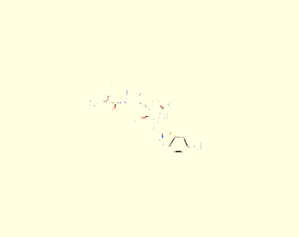 CCC(=O)N[C@@H](Cc1nc2ccc(C(C)C)cc2s1)C(=O)N[C@H](CNC(=O)C(C)C#N)[C@@H](C)CC